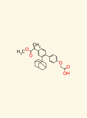 C=C(C(=O)OC)c1ccc(-c2ccc(OCC(=O)O)cc2)c(C23CC4CC(CC(C4)C2)C3)c1